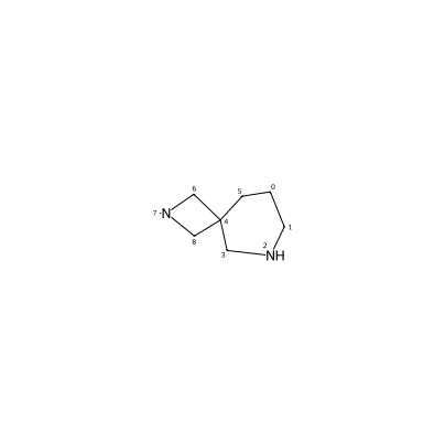 C1CNCC2(C1)C[N]C2